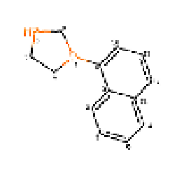 c1ccc2c(P3CCPC3)cccc2c1